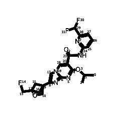 CC(C)Oc1nc2nc(C34COC(CF)(C3)C4)cn2cc1C(=O)Nc1cccc(C(F)F)n1